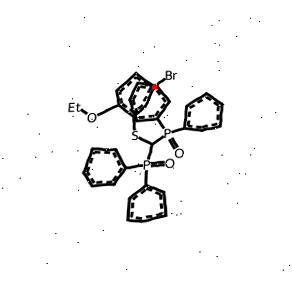 CCOc1ccc(Br)cc1SC(P(=O)(c1ccccc1)c1ccccc1)P(=O)(c1ccccc1)c1ccccc1